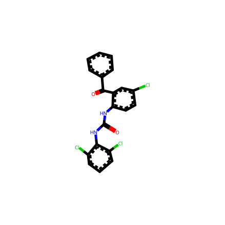 O=C(Nc1ccc(Cl)cc1C(=O)c1ccccc1)Nc1c(Cl)cccc1Cl